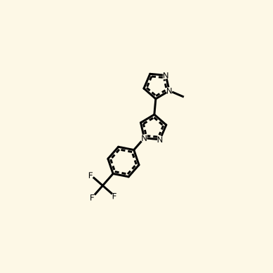 Cn1nccc1-c1cnn(-c2ccc(C(F)(F)F)cc2)c1